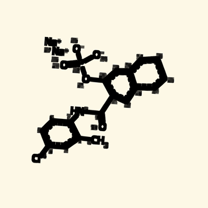 Cc1cc(Cl)ccc1NC(=O)c1cc2ccccc2cc1OP(=O)([O-])[O-].[Na+].[Na+]